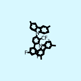 Cc1ccc2c(c1)c1cc(C)ccc1n2-c1ccc(-c2cc(F)cc(F)c2)c(-n2c3ccc(C)cc3c3cc(C)ccc32)c1C(F)(F)F